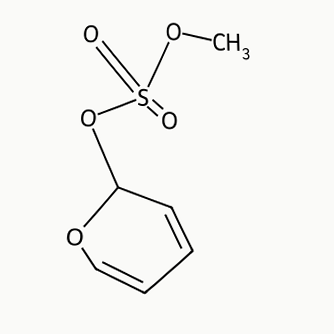 COS(=O)(=O)OC1C=CC=CO1